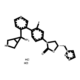 Cl.Cl.NC1(c2ccncc2-c2ccc(N3C[C@H](Cn4ccnn4)OC3=O)cc2F)C2CNCC21